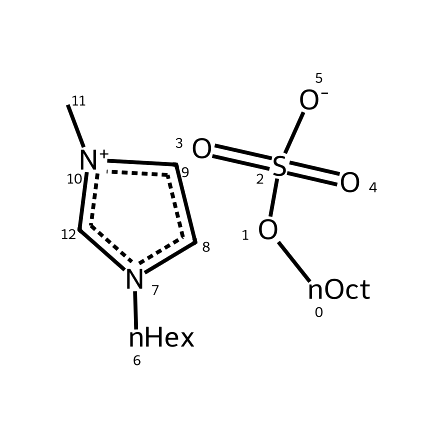 CCCCCCCCOS(=O)(=O)[O-].CCCCCCn1cc[n+](C)c1